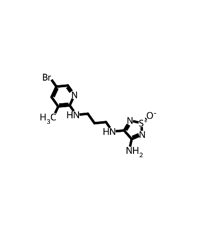 Cc1cc(Br)cnc1NCCCNc1n[s+]([O-])nc1N